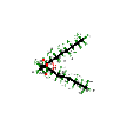 FC(F)(F)C(F)(F)C(F)(F)C(F)(F)C(F)(F)C(F)(F)C(F)(OC(F)(C(F)(F)C(F)(F)F)C(F)(F)C(F)(F)C(F)(F)C(F)(F)C(F)(F)C(F)(F)F)C(F)(F)C(F)(F)F